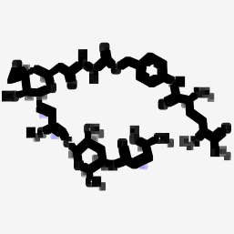 CC(/C=C/[C@H]1O[C@H](CC(=O)NNC(=O)OCc2ccc(NC(=O)[C@@H](N)CCC(N)C(N)=O)cc2)C[C@@]2(CO2)[C@@H]1O)=C\C[C@@H]1O[C@H](C)[C@H](NC(=O)/C=C\[C@H](C)O)C[C@@H]1C